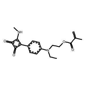 C=C(C)C(=O)OCCN(CC)c1ccc(-c2c(NC)c(=O)c2=O)cc1